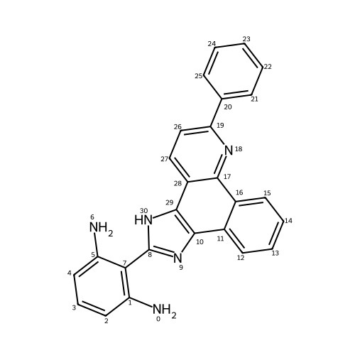 Nc1cccc(N)c1-c1nc2c3ccccc3c3nc(-c4ccccc4)ccc3c2[nH]1